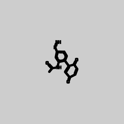 CC(=O)Nc1cc(N=N)ccc1C1=CC(=O)C=CC1=O